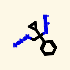 [N-]=[N+]=NCC(N=[N+]=[N-])(c1ccccc1)C1CC1